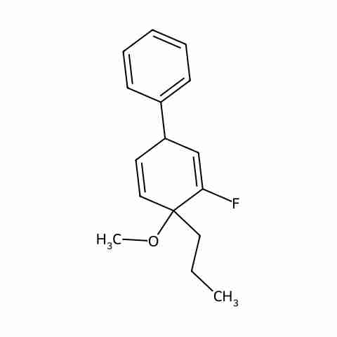 CCCC1(OC)C=CC(c2ccccc2)C=C1F